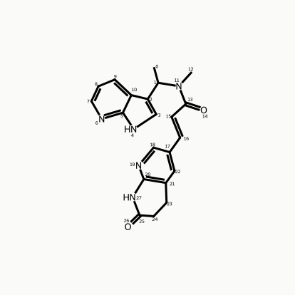 CC(c1c[nH]c2ncccc12)N(C)C(=O)/C=C/c1cnc2c(c1)CCC(=O)N2